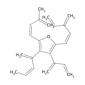 C=CC(=C)/C=C\c1oc(/C=C\C(=C)C)c(C(=C)/C=C\C)c1C(=C)C=C